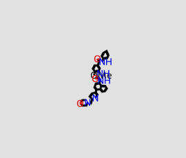 COc1ccc(C(=O)Nc2ccccc2)cc1NC(=O)Nc1ccc(-c2ccc(CN3CCOCC3)nc2)c2ccccc12